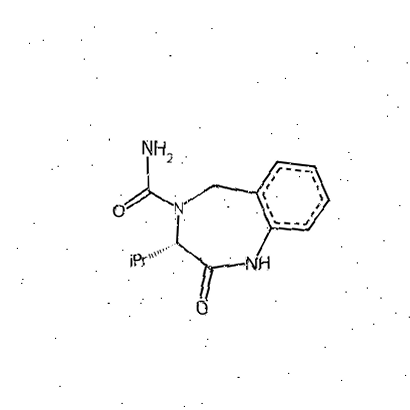 CC(C)[C@H]1C(=O)Nc2ccccc2CN1C(N)=O